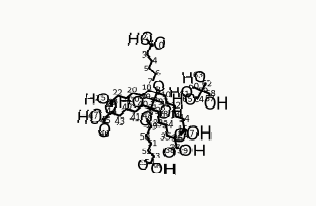 O=C(O)CCCCCOC(CCCCCC(=O)O)(CCCCCC(=O)O)C(CO)(CO)C(CCCCCC(=O)O)(CCCCCC(=O)O)OCCCCCC(=O)O.OCC(CO)(CO)CO